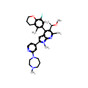 Cc1nc2c(cc(-c3ccnc(N4CCCN(C)CC4)c3)n2C)c(-c2cc(F)c3c(c2C)CCCO3)c1[C@H](OC(C)(C)C)C(=O)O